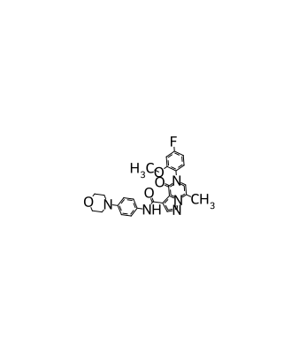 COc1cc(F)ccc1-n1cc(C)n2ncc(C(=O)Nc3ccc(N4CCOCC4)cc3)c2c1=O